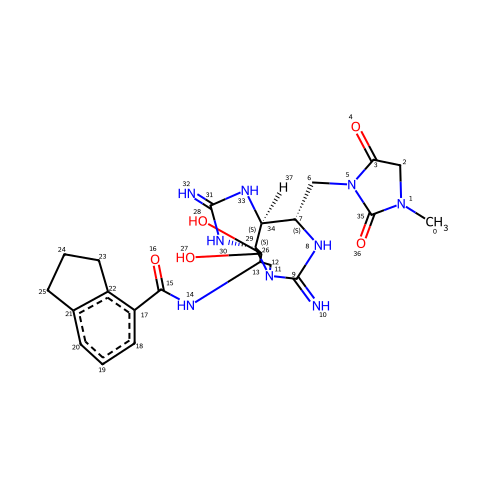 CN1CC(=O)N(C[C@@H]2NC(=N)N3CC(NC(=O)c4cccc5c4CCC5)C(O)(O)[C@@]34NC(=N)N[C@@H]24)C1=O